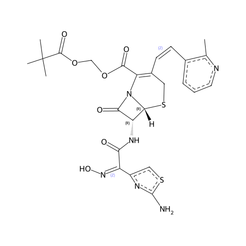 Cc1ncccc1/C=C\C1=C(C(=O)OCOC(=O)C(C)(C)C)N2C(=O)[C@@H](NC(=O)/C(=N\O)c3csc(N)n3)[C@H]2SC1